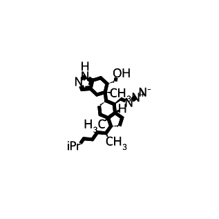 CC(C)CCC[C@@H](C)[C@H]1CC[C@H]2[C@H](CN=[N+]=[N-])[C@@H]([C@@]3(C)Cc4cn[nH]c4C[C@@H]3CO)CC[C@]12C